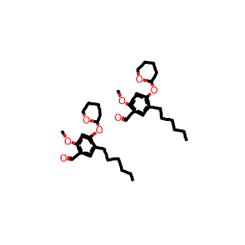 CCCCCCc1cc(C=O)c(OC)cc1OC1CCCCO1.CCCCCCc1cc(C=O)c(OC)cc1OC1CCCCO1